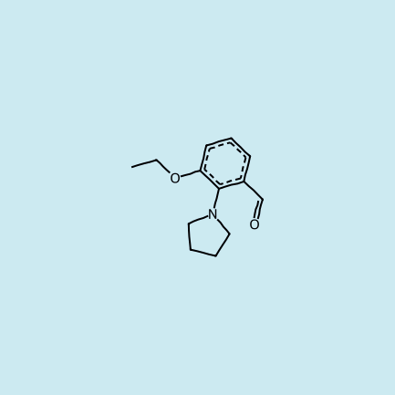 CCOc1cccc(C=O)c1N1CCCC1